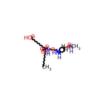 CCCCCCCCCCCC(CCCCCCCCCCC(=O)O)(C(=O)O)C(=O)NCCOCCN1NNC2=C1CC[C@H]1[C@@H](CC2)[C@H]1COC(=O)NC